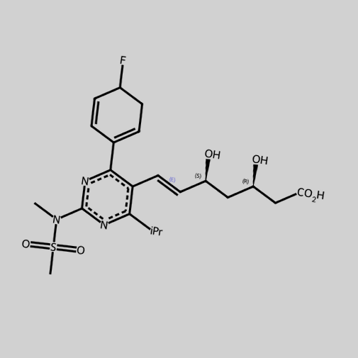 CC(C)c1nc(N(C)S(C)(=O)=O)nc(C2=CCC(F)C=C2)c1/C=C/[C@@H](O)C[C@@H](O)CC(=O)O